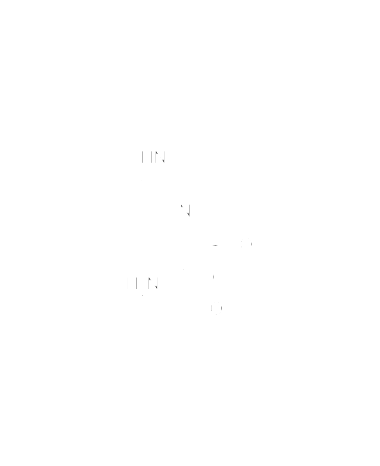 Nc1c(N2CCNCC2)c(=O)c1=O